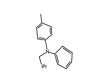 Cc1ccc(N(CC(C)C)c2ccccc2)cc1